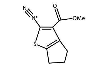 COC(=O)c1c([N+]#N)sc2c1CCC2